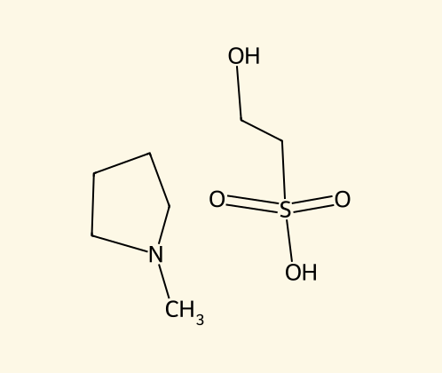 CN1CCCC1.O=S(=O)(O)CCO